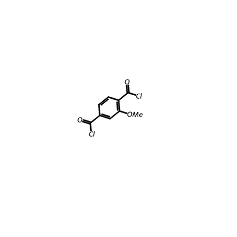 COc1cc(C(=O)Cl)ccc1C(=O)Cl